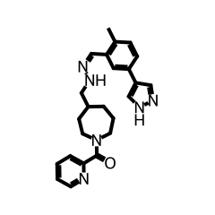 Cc1ccc(-c2cn[nH]c2)cc1/C=N\NCC1CCCN(C(=O)c2ccccn2)CC1